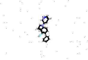 Fc1c(-c2ccccc2)ccc2c1ccn2-c1cccnc1